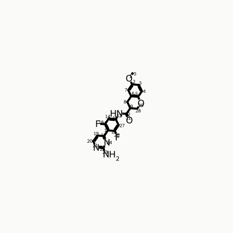 COc1ccc2c(c1)CC(C(=O)Nc1cc(F)c(-c3ccnc(N)n3)c(F)c1)CO2